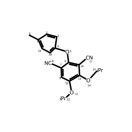 Cc1ccc(Oc2c(C#N)cc(OC(C)C)c(OC(C)C)c2C#N)cc1